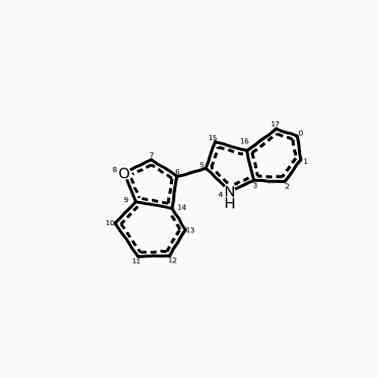 c1ccc2[nH]c(-c3coc4ccccc34)cc2c1